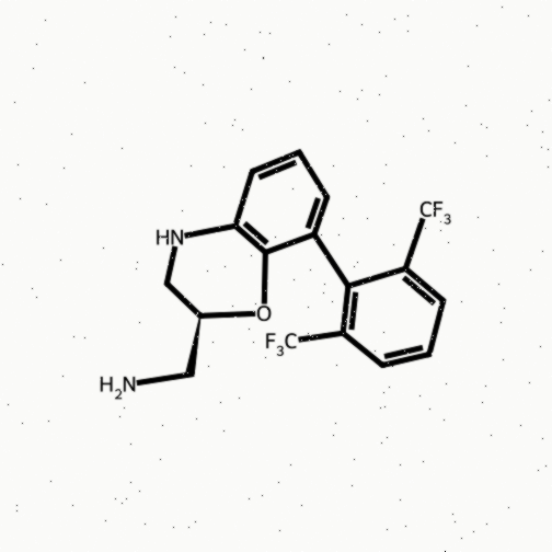 NC[C@H]1CNc2cccc(-c3c(C(F)(F)F)cccc3C(F)(F)F)c2O1